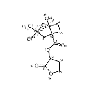 CCC(C)(C)CC1(C(=O)OC2CCOC2=O)CCC1(C)C